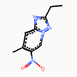 CCc1nc2cc(C)c([N+](=O)[O-])cn2n1